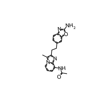 CC(=O)Nc1cccn2c(C)c(CCc3ccc4nc(N)oc4c3)nc12